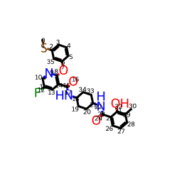 CSc1cccc(Oc2ncc(F)cc2C(=O)NC2CCC(NC(=O)c3cccc(C)c3O)CC2)c1